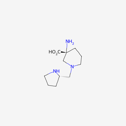 N[C@]1(C(=O)O)CCCN(C[C@@H]2CCCN2)C1